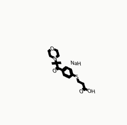 CC(C)(C(=O)c1ccc(SCCC(=O)O)cc1)N1CCOCC1.[NaH]